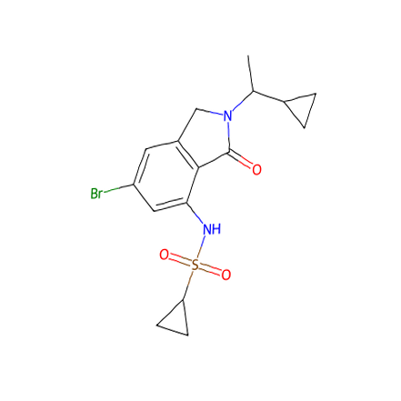 CC(C1CC1)N1Cc2cc(Br)cc(NS(=O)(=O)C3CC3)c2C1=O